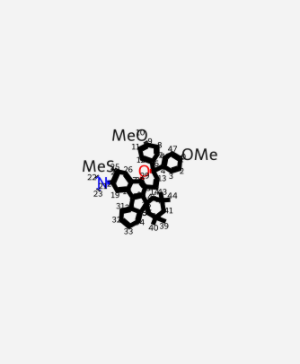 COc1ccc(C2(c3ccc(OC)cc3)C=Cc3c4c(c5cc(N(C)C)c(SC)cc5c3O2)-c2ccccc2C42CC(C)(C)CC(C)(C)C2)cc1